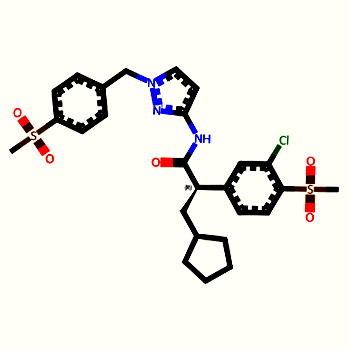 CS(=O)(=O)c1ccc(Cn2ccc(NC(=O)[C@H](CC3CCCC3)c3ccc(S(C)(=O)=O)c(Cl)c3)n2)cc1